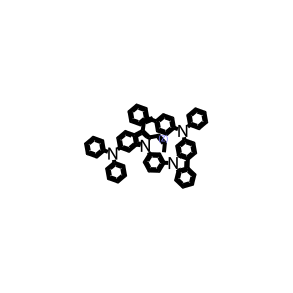 C=Cc1c(/C=C\C)n(-c2cccc(-n3c4ccccc4c4ccc(N(c5ccccc5)c5ccc(-c6ccccc6)cc5)cc43)c2)c2cc(N(c3ccccc3)c3ccccc3)ccc12